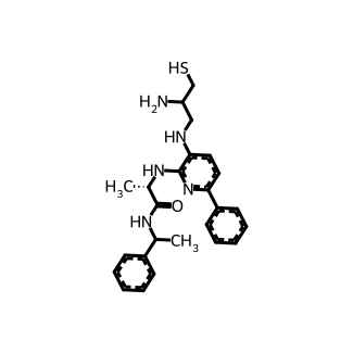 CC(NC(=O)[C@H](C)Nc1nc(-c2ccccc2)ccc1NCC(N)CS)c1ccccc1